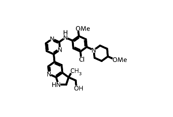 COc1cc(N2CCC(OC)CC2)c(Cl)cc1Nc1nccc(-c2cnc3c(c2)C(C)(CO)CN3)n1